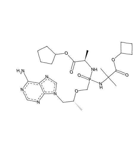 C[C@H](Cn1cnc2c(N)ncnc21)OCP(=O)(N[C@H](C)C(=O)OC1CCCC1)NC(C)(C)C(=O)OC1CCC1